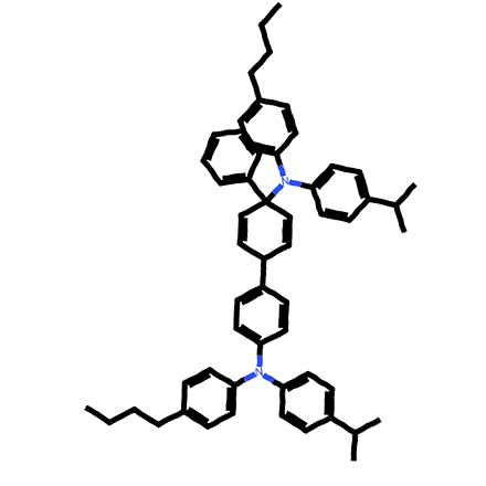 CCCCc1ccc(N(c2ccc(C(C)C)cc2)c2ccc(C3C=CC(c4ccccc4)(N(c4ccc(CCCC)cc4)c4ccc(C(C)C)cc4)C=C3)cc2)cc1